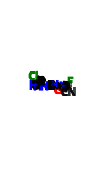 N#CC1C[C@H](F)CN1C(=O)CN1CCC(Nc2ccc(Cl)c3cnccc23)CC1